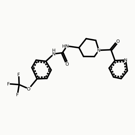 O=C(Nc1ccc(OC(F)(F)F)cc1)NC1CCN(C(=O)c2ccccn2)CC1